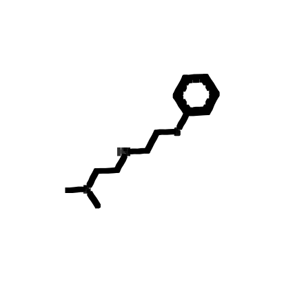 CN(C)CCNCCSc1ccccc1